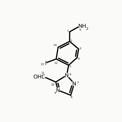 NCc1ccc(-n2ncnc2C=O)c(I)c1